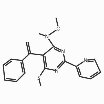 C=C(c1ccccc1)c1c(SC)nc(-c2ccccn2)nc1N(C)OC